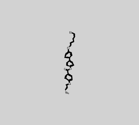 CC/C=C\CCCCOc1ccc(-c2ccc(OC(=O)c3ccc(OCCC[C@@H](C)CC)cc3)cc2)cc1